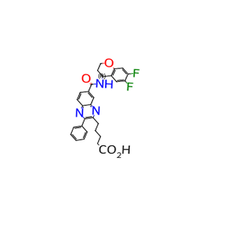 O=C(O)CCCCc1nc2cc(C(=O)N[C@@H]3CCOc4cc(F)c(F)cc43)ccc2nc1-c1ccccc1